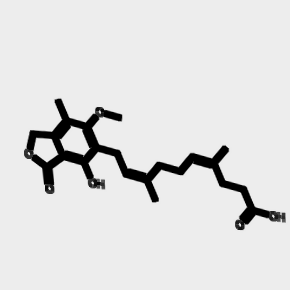 COc1c(C)c2c(c(O)c1CC=C(C)CCC=C(C)CCC(=O)O)C(=O)OC2